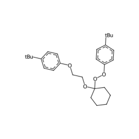 CC(C)(C)c1ccc(OCCOC2(OOc3ccc(C(C)(C)C)cc3)CCCCC2)cc1